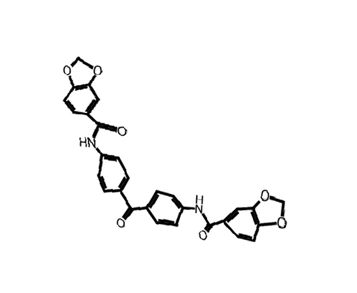 O=C(Nc1ccc(C(=O)c2ccc(NC(=O)c3ccc4c(c3)OCO4)cc2)cc1)c1ccc2c(c1)OCO2